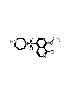 COc1ccc(S(=O)(=O)N2CCCNCC2)c2ccnc(Cl)c12